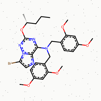 CCC[C@@H](C)Oc1nc(N(Cc2ccc(OC)cc2OC)Cc2ccc(OC)cc2OC)c2ncc(Br)n2n1